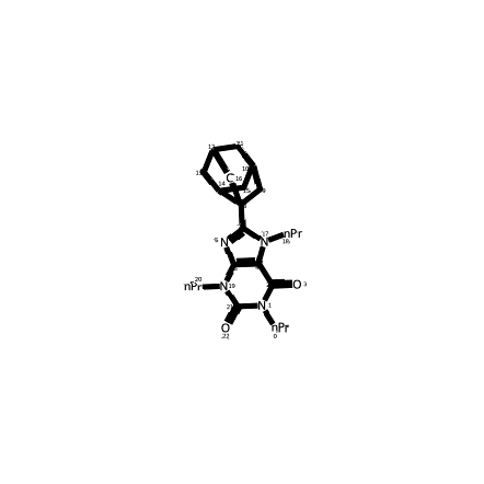 CCCn1c(=O)c2c(nc(C34CC5CC(CC3C5)C4)n2CCC)n(CCC)c1=O